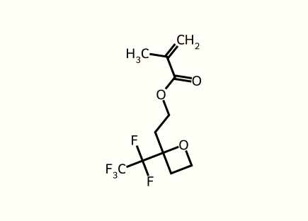 C=C(C)C(=O)OCCC1(C(F)(F)C(F)(F)F)CCO1